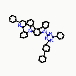 c1ccc(-c2ccc(-c3nc(-c4ccccc4)nc(-n4c5ccccc5c5c6c7ccccc7n(-c7ccccc7-c7cccc(-c8ccccc8)n7)c6ccc54)n3)cc2)cc1